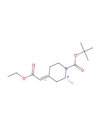 CCOC(=O)/C=C1\CCN(C(=O)OC(C)(C)C)[C@H](C)C1